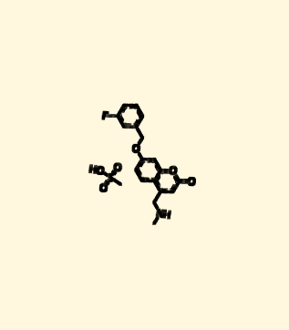 CNCc1cc(=O)oc2cc(OCc3cccc(F)c3)ccc12.CS(=O)(=O)O